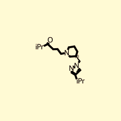 CC(C)C(=O)CCCN1CCC[C@@H](Cn2cc(C(C)C)cn2)C1